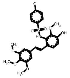 COc1cc(C=Cc2ccc(O)c(OC)c2NS(=O)(=O)c2ccc(Cl)cc2)cc(OC)c1OC